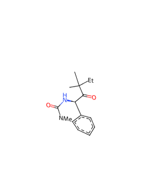 CCC(C)(C)C(=O)[C@H](NC(=O)NC)c1ccccc1